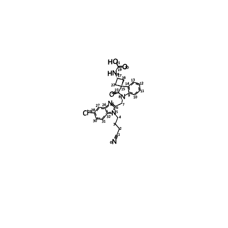 N#CCCCn1c(CN2c3ccccc3[C@]3(C[C@@H](NC(=O)O)C3)C2=O)nc2cc(Cl)ccc21